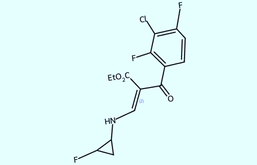 CCOC(=O)/C(=C\NC1CC1F)C(=O)c1ccc(F)c(Cl)c1F